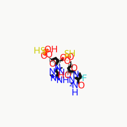 Nc1ncnc2c1ncn2[C@@H]1O[C@H](COP(=O)(O)S)C[C@H]1COP(=O)(S)OC[C@@H]1C[C@@H](O)[C@H](n2cc(F)c3c(=O)[nH]cnc32)O1